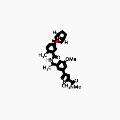 CNC(=O)c1cc(-c2cc(OC)cc([C@@H](C)NC(=O)c3cc(N4C[C@H]5CC[C@@H](C4)N5CI)ccc3C)c2)cn1C